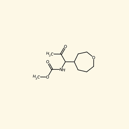 COC(=O)NC(C(C)=O)C1CCCOCC1